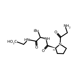 CCC(C)C(NC(=O)[C@@H]1CCCN1C(=O)CN)C(=O)NCC(=O)O